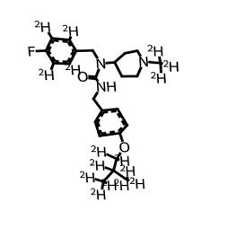 [2H]c1c([2H])c(CN(C(=O)NCc2ccc(OC([2H])([2H])C([2H])(C([2H])([2H])[2H])C([2H])([2H])[2H])cc2)C2CCN(C([2H])([2H])[2H])CC2)c([2H])c([2H])c1F